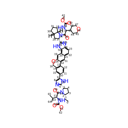 CC[C@H]1CC[C@@H](c2ncc(-c3ccc4c(c3)COc3cc5c(ccc6nc([C@@H]7C[C@@H]8CCC[C@@H]8N7C(=O)[C@@H](NC(=O)OC)C7CCOCC7)[nH]c65)cc3-4)[nH]2)N1C(=O)[C@@H](NC(=O)OC)C(C)C